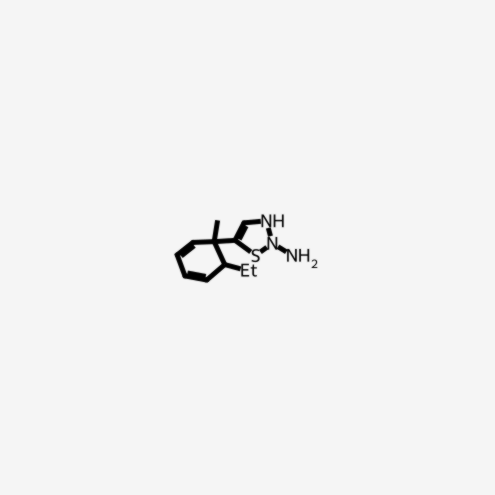 CCC1C=CC=CC1(C)C1=CNN(N)S1